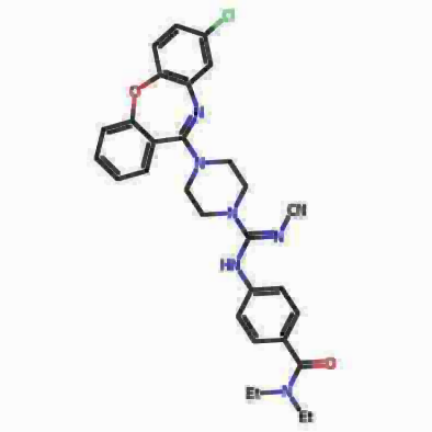 CCN(CC)C(=O)c1ccc(N/C(=N/C#N)N2CCN(C3=Nc4cc(Cl)ccc4Oc4ccccc43)CC2)cc1